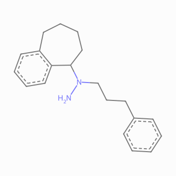 NN(CCCc1ccccc1)C1CCCCc2ccccc21